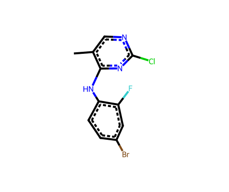 Cc1cnc(Cl)nc1Nc1ccc(Br)cc1F